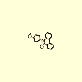 COc1ccc(-n2c(=O)c3ccccc3c3ccccc32)cc1